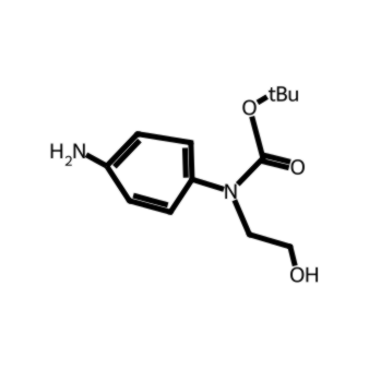 CC(C)(C)OC(=O)N(CCO)c1ccc(N)cc1